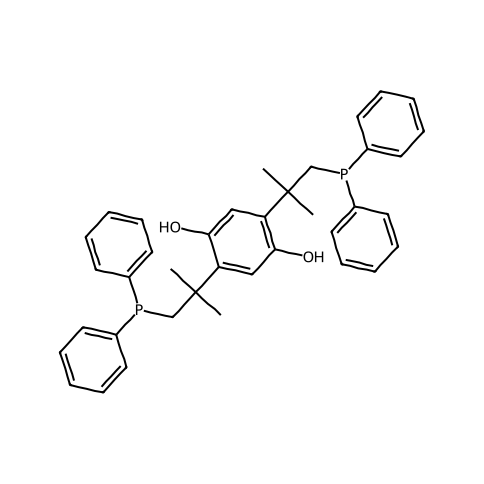 CC(C)(CP(c1ccccc1)c1ccccc1)c1cc(O)c(C(C)(C)CP(c2ccccc2)c2ccccc2)cc1O